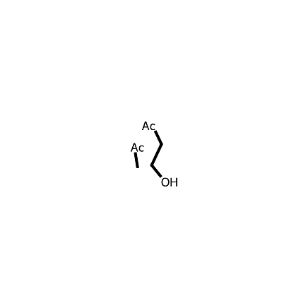 CC(=O)CCO.CC(C)=O